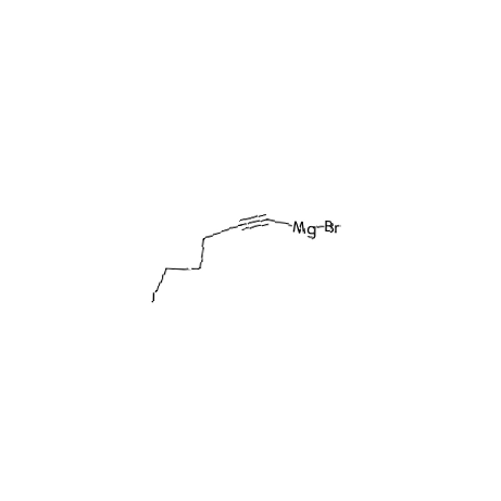 [Br][Mg][C]#CCCCI